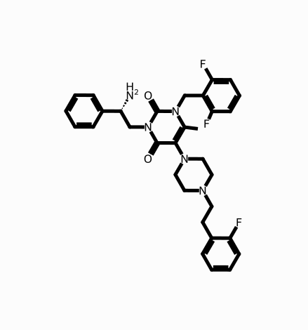 Cc1c(N2CCN(CCc3ccccc3F)CC2)c(=O)n(C[C@@H](N)c2ccccc2)c(=O)n1Cc1c(F)cccc1F